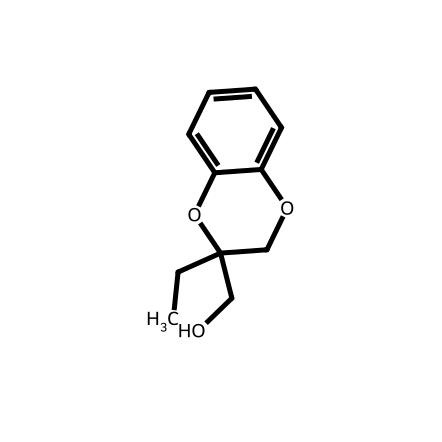 CCC1(CO)COc2ccccc2O1